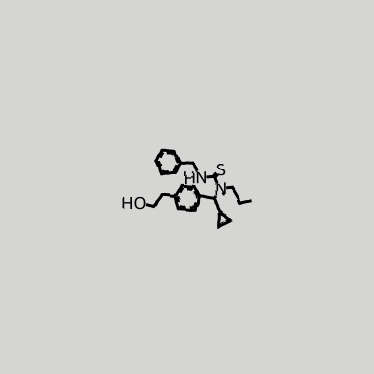 CCCN(C(=S)NCc1ccccc1)C(c1ccc(CCO)cc1)C1CC1